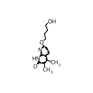 Cc1c(C)c2ccc(OCCCCO)nc2[nH]c1=O